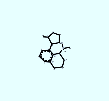 CC1CCCC1c1cccc2c1C(N(C)C)CCC2